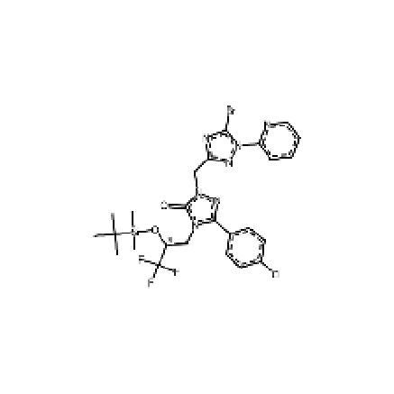 CC(C)(C)[Si](C)(C)O[C@@H](Cn1c(-c2ccc(Cl)cc2)nn(Cc2nc(Br)n(-c3ccccn3)n2)c1=O)C(F)(F)F